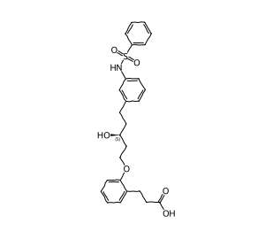 O=C(O)CCc1ccccc1OCC[C@@H](O)CCc1cccc(NS(=O)(=O)c2ccccc2)c1